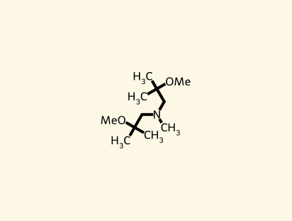 COC(C)(C)CN(C)CC(C)(C)OC